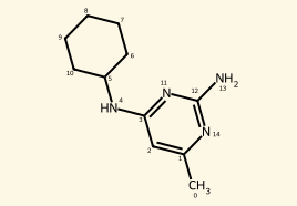 Cc1cc(NC2CCCCC2)nc(N)n1